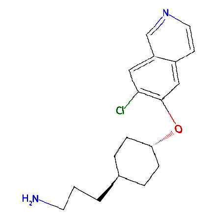 NCCC[C@H]1CC[C@H](Oc2cc3ccncc3cc2Cl)CC1